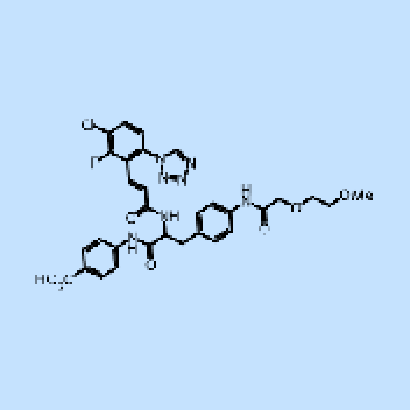 COCCOCC(=O)Nc1ccc(CC(NC(=O)C=Cc2c(-n3cnnn3)ccc(Cl)c2F)C(=O)Nc2ccc(C(=O)O)cc2)cc1